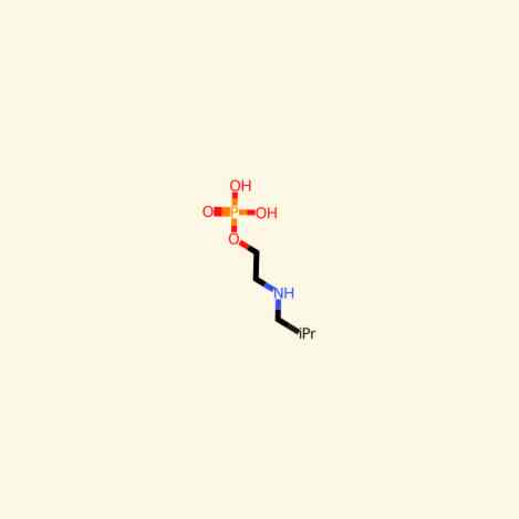 CC(C)CNCCOP(=O)(O)O